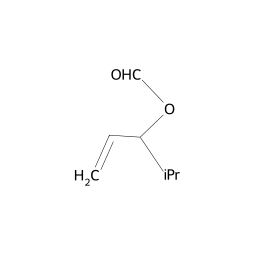 C=CC(OC=O)C(C)C